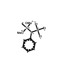 CC[Si](CC)(CC)N(c1ccccc1)[Si](C)(OC)OC